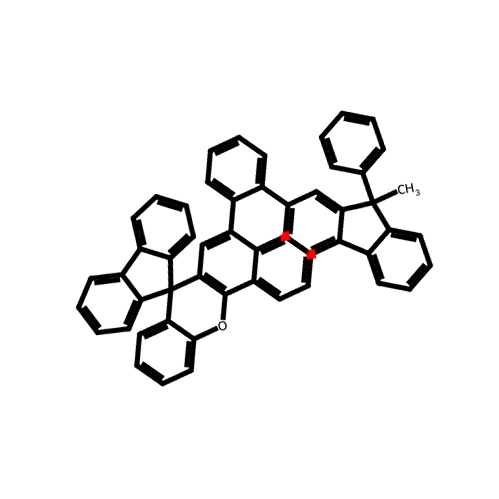 CC1(c2ccccc2)c2ccccc2-c2ccc(-c3ccccc3-c3cc4c(c5ccccc35)Oc3ccccc3C43c4ccccc4-c4ccccc43)cc21